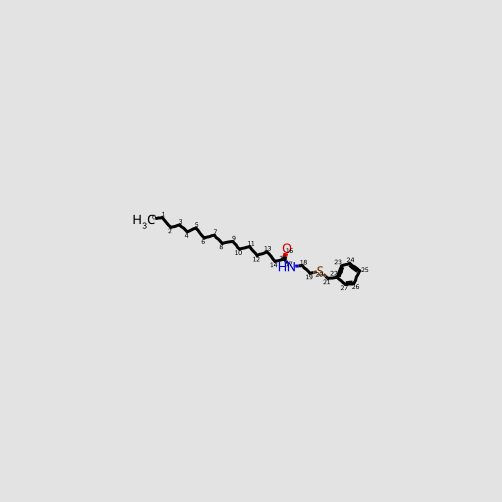 CCCCCCCCCCCCCCCC(=O)NCCSCc1ccccc1